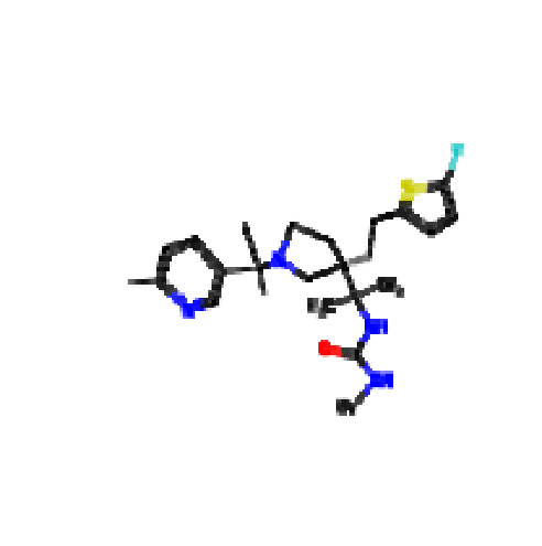 Cc1ccc(C(C)(C)N2CC[C@@](CCc3ccc(F)s3)(C(NC(=O)NC(C)C)(C(F)(F)F)C(F)(F)F)C2)cn1